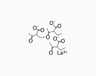 CCC(C(C)=O)C(=O)[O-].CCC(C(C)=O)C(=O)[O-].CCC(C(C)=O)C(=O)[O-].[La+3]